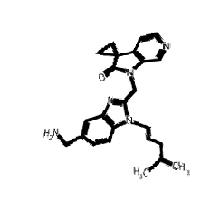 CC(C)CCCn1c(CN2C(=O)C3(CC3)c3ccncc32)nc2cc(CN)ccc21